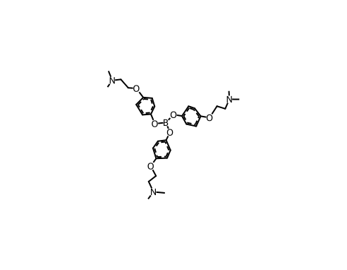 CN(C)CCOc1ccc(OB(Oc2ccc(OCCN(C)C)cc2)Oc2ccc(OCCN(C)C)cc2)cc1